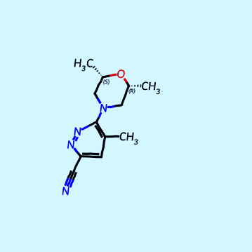 Cc1cc(C#N)nnc1N1C[C@@H](C)O[C@@H](C)C1